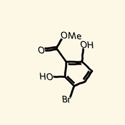 COC(=O)c1c(O)ccc(Br)c1O